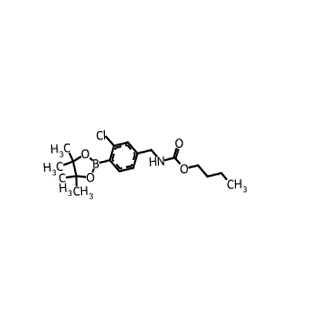 CCCCOC(=O)NCc1ccc(B2OC(C)(C)C(C)(C)O2)c(Cl)c1